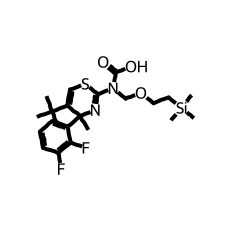 CC(C)(C)C1=CSC(N(COCC[Si](C)(C)C)C(=O)O)=NC1(C)c1cccc(F)c1F